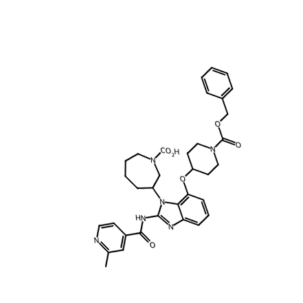 Cc1cc(C(=O)Nc2nc3cccc(OC4CCN(C(=O)OCc5ccccc5)CC4)c3n2C2CCCCN(C(=O)O)C2)ccn1